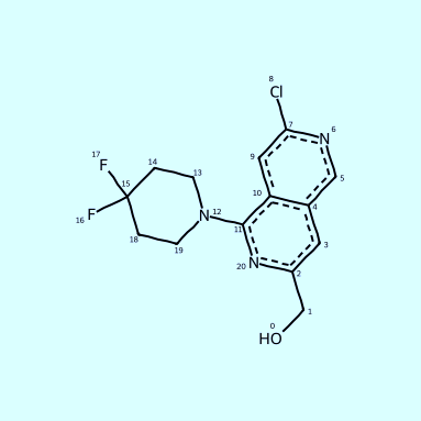 OCc1cc2cnc(Cl)cc2c(N2CCC(F)(F)CC2)n1